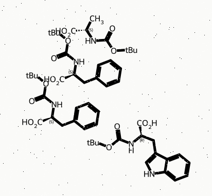 CC(C)(C)OC(=O)N[C@@H](Cc1ccccc1)C(=O)O.CC(C)(C)OC(=O)N[C@@H](Cc1ccccc1)C(=O)O.CC(C)(C)OC(=O)N[C@H](Cc1c[nH]c2ccccc12)C(=O)O.C[C@H](NC(=O)OC(C)(C)C)C(=O)O